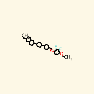 C=CC1CCC2CC(C3CCC(C4CCC(COc5ccc(OCC)c(F)c5F)CC4)CC3)CCC2C1